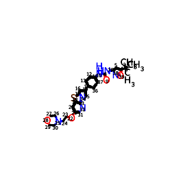 CC(C)(C)c1cc(NC(=O)Nc2ccc(-c3cc4sc5cc(OCCN6CCOCC6)cnc5n4c3)cc2)no1